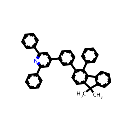 CC1(C)c2ccccc2-c2c1ccc(-c1cccc(-c3cc(-c4ccccc4)nc(-c4ccccc4)c3)c1)c2-c1ccccc1